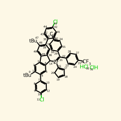 CC(C)(C)c1cc2c(cc1-c1ccc(Cl)cc1)[CH]([Zr]([C]1=CC=CC1)=[C](c1ccc(C(F)(F)F)cc1)c1ccc(C(F)(F)F)cc1)c1cc(-c3ccc(Cl)cc3)c(C(C)(C)C)cc1-2.Cl.Cl